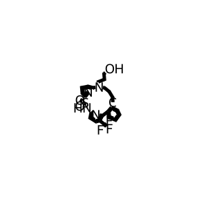 O=S1(=O)Nc2ccc(C(F)(F)F)c(n2)-c2ccccc2CCCCN(CCCO)c2cccc1n2